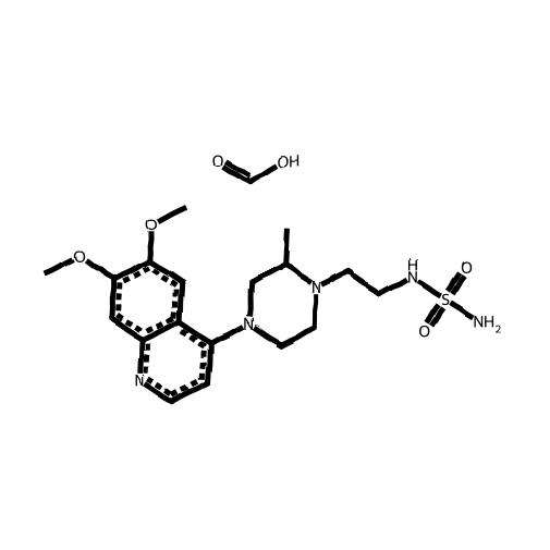 COc1cc2nccc(N3CCN(CCNS(N)(=O)=O)C(C)C3)c2cc1OC.O=CO